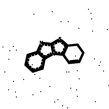 C1=Cc2c(sc3nc4ccccc4n23)CC1